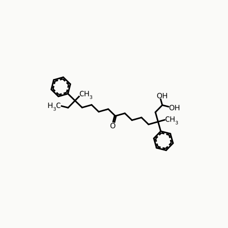 CCC(C)(CCCCC(=O)CCCCC(C)(CC(O)O)c1ccccc1)c1ccccc1